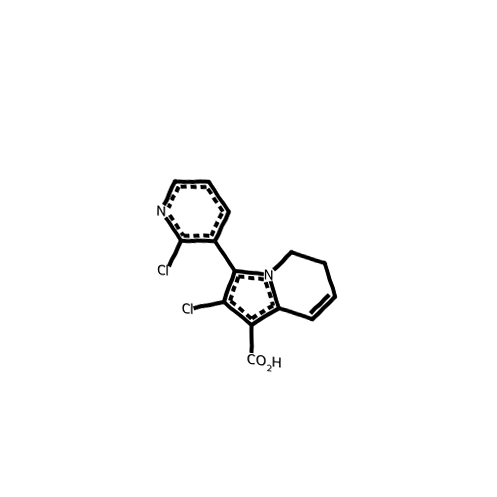 O=C(O)c1c(Cl)c(-c2cccnc2Cl)n2c1C=CCC2